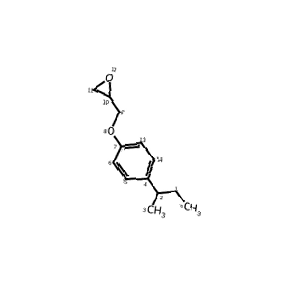 CCC(C)c1ccc(OCC2CO2)cc1